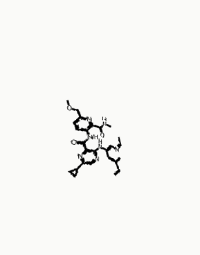 C\C=N/C=C(\C=C(/C)CC)Nc1ncc(C2CC2)nc1C(=O)Nc1ccc(COC)nc1C(=O)NC